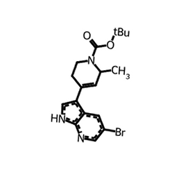 CC1C=C(c2c[nH]c3ncc(Br)cc23)CCN1C(=O)OC(C)(C)C